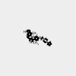 Cc1ncc(C#N)c(Nc2ccc3[nH]ccc3c2C)c1-c1ccc(OCCN2CCN(C3CCCC3)CC2)cc1